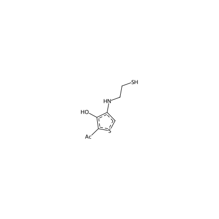 CC(=O)c1scc(NCCS)c1O